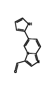 O=Cc1cnc2ccc(-c3ccc[nH]3)cn12